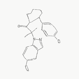 CC(C)(C(=O)C1CCCC1c1ccc(Cl)cc1)n1ncc2cc(Cl)ccc21